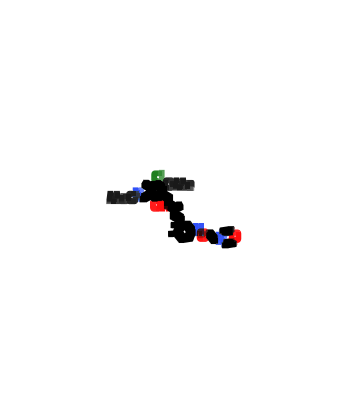 CO/N=C/c1c(C)c(Cl)c(OC)c(C/C=C(C)/C=C/[C@]2(C)C/C(=N/OCCN3CCOCC3)CC[C@H]2C)c1O